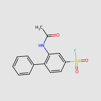 CC(=O)Nc1cc(S(=O)(=O)F)ccc1-c1ccccc1